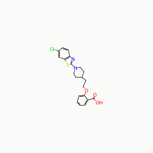 O=C(O)c1ccccc1OCCC1CCN(c2nc3ccc(Cl)cc3s2)CC1